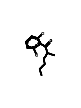 CCCCC(C)C(=O)c1c(Cl)cccc1Cl